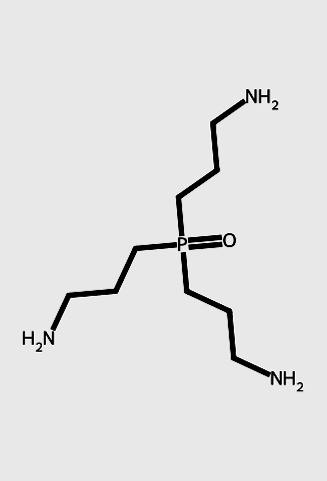 NCCCP(=O)(CCCN)CCCN